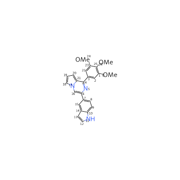 COc1cc(-c2nc(-c3ccc4[nH]ccc4c3)cn3cccc23)cc(OC)c1OC